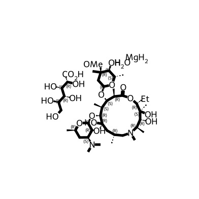 CC[C@H]1OC(=O)[C@H](C)[C@@H](O[C@H]2C[C@@](C)(OC)[C@@H](O)[C@H](C)O2)[C@H](C)[C@@H](O[C@@H]2O[C@H](C)C[C@H](N(C)C)[C@H]2O)[C@](C)(O)C[C@@H](C)CN(C)[C@H](C)[C@@H](O)[C@]1(C)O.O.O=C(O)[C@H](O)[C@@H](O)[C@H](O)[C@H](O)CO.[MgH2]